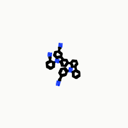 N#Cc1cccc(-n2c3ccccc3c3cccc(-c4ccc5c(c4)c4cc(C#N)ccc4n5-c4ccccc4C#N)c32)c1